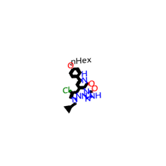 CCCCCCOc1ccc(-c2cc(-c3nn(CC4CC4)cc3Cl)c(-n3nn[nH]c3=O)c(=O)[nH]2)cc1